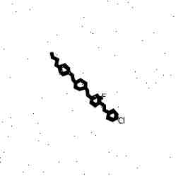 CCCCc1ccc(CCC2CCC(CCc3ccc(CCc4ccc(Cl)cc4)c(F)c3)CC2)cc1